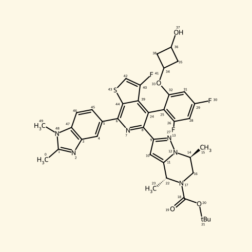 Cc1nc2cc(-c3nc(-c4cc5n(n4)[C@@H](C)CN(C(=O)OC(C)(C)C)[C@@H]5C)c(-c4c(F)cc(F)cc4OC4CC(O)C4)c4c(F)csc34)ccc2n1C